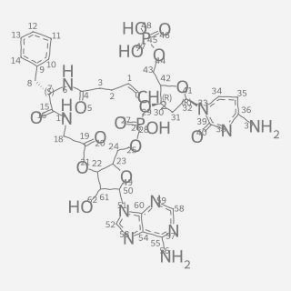 C=CCCC(=O)N[C@@H](Cc1ccccc1)C(=O)NCC(=O)OC1C(COP(=O)(O)O[C@@H]2C[C@H](n3ccc(N)nc3=O)OC2COP(=O)(O)O)OC(n2cnc3c(N)ncnc32)C1O